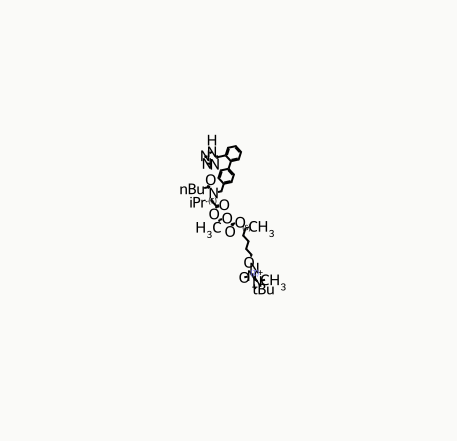 CCCCC(=O)N(Cc1ccc(-c2ccccc2-c2nnn[nH]2)cc1)[C@H](C(=O)OC(C)OC(=O)O[C@@H](C)CCCCO/N=[N+](\[O-])N(C)C(C)(C)C)C(C)C